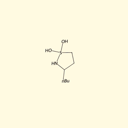 CCCCC1CCS(O)(O)N1